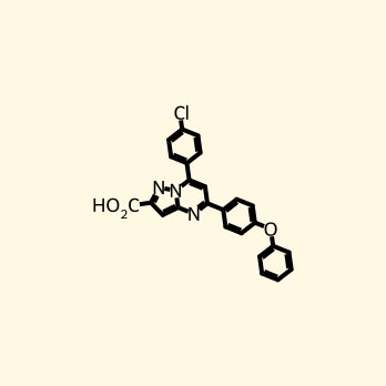 O=C(O)c1cc2nc(-c3ccc(Oc4ccccc4)cc3)cc(-c3ccc(Cl)cc3)n2n1